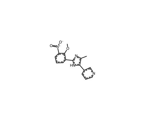 COc1c(-c2nc(C)c(-c3cccnc3)[nH]2)cccc1[N+](=O)[O-]